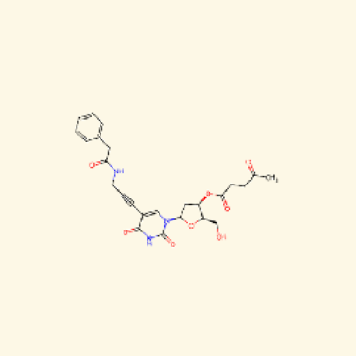 CC(=O)CCC(=O)O[C@@H]1C[C@H](n2cc(C#CCNC(=O)Cc3ccccc3)c(=O)[nH]c2=O)O[C@@H]1CO